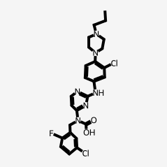 CCCN1CCN(c2ccc(Nc3nccc(N(Cc4cc(Cl)ccc4F)C(=O)O)n3)cc2Cl)CC1